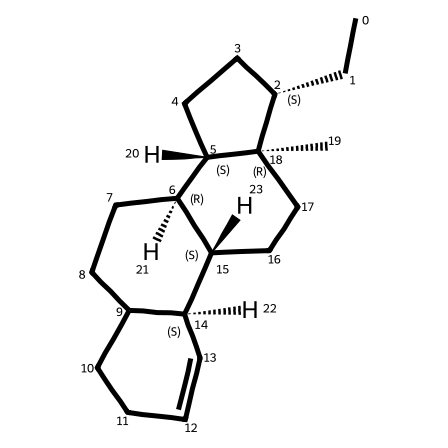 CC[C@H]1CC[C@H]2[C@@H]3CCC4CCC=C[C@@H]4[C@H]3CC[C@]12C